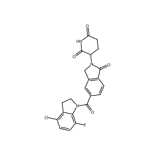 O=C1CCC(N2Cc3cc(C(=O)N4CCc5c(Cl)ccc(F)c54)ccc3C2=O)C(=O)N1